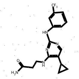 NC(=O)CCNc1nc(Nc2cccc(C(F)(F)F)c2)ncc1C1CC1